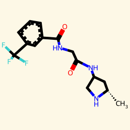 C[C@H]1CC(NC(=O)CNC(=O)c2cccc(C(F)(F)F)c2)CN1